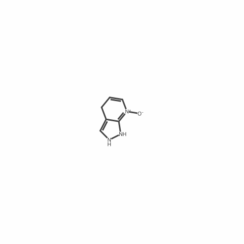 [O-][N+]1=C2NNC=C2CC=C1